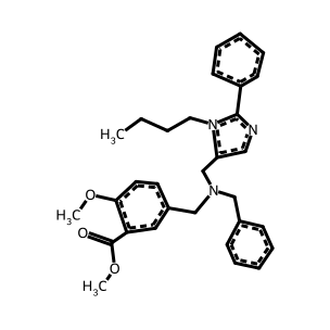 CCCCn1c(CN(Cc2ccccc2)Cc2ccc(OC)c(C(=O)OC)c2)cnc1-c1ccccc1